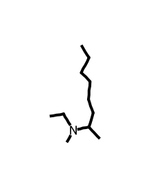 CCCCCCC(C)N(C)CC